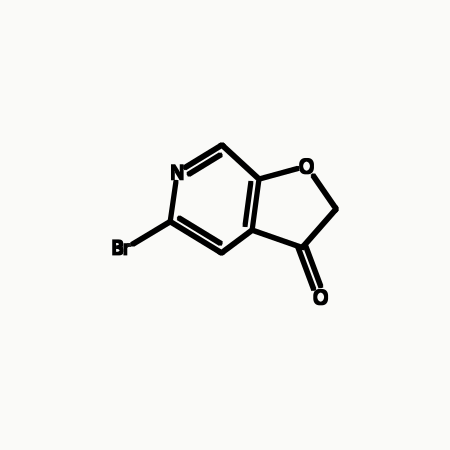 O=C1COc2cnc(Br)cc21